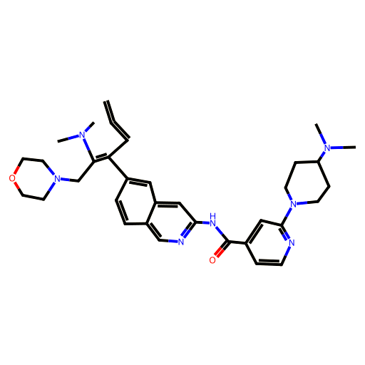 C=C=C/C(=C(/CN1CCOCC1)N(C)C)c1ccc2cnc(NC(=O)c3ccnc(N4CCC(N(C)C)CC4)c3)cc2c1